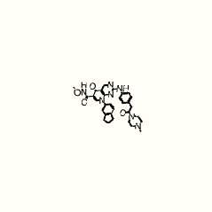 CONC(=O)c1cn(-c2ccc3c(c2)CCC3)c2nc(Nc3ccc(CC(=O)N4CCN(C)CC4)cc3)ncc2c1=O